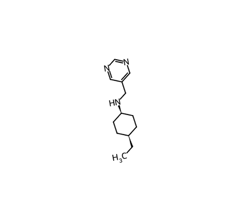 CC[C@H]1CC[C@@H](NCc2cncnc2)CC1